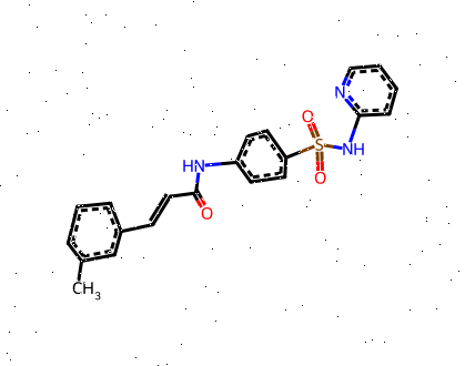 Cc1cccc(/C=C/C(=O)Nc2ccc(S(=O)(=O)Nc3ccccn3)cc2)c1